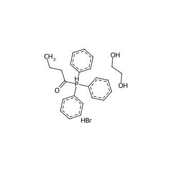 Br.CCCC(=O)[PH](c1ccccc1)(c1ccccc1)c1ccccc1.OCCO